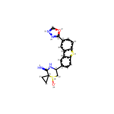 N=C1NC(c2ccc3sc4ccc(-c5nnco5)cc4c3c2)C[S+]([O-])C12CC2